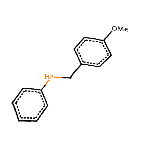 COc1ccc(CPc2ccccc2)cc1